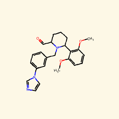 COc1cccc(OC)c1C1CCCC(C=O)N1Cc1cccc(-n2ccnc2)c1